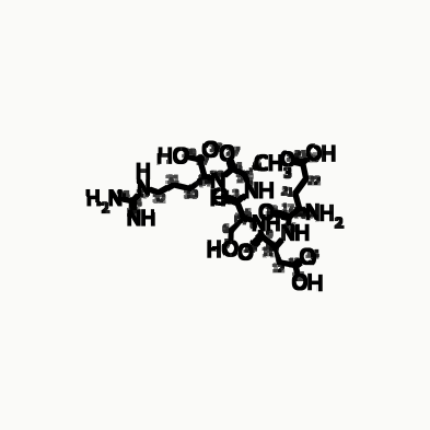 C[C@H](NC(=O)[C@H](CO)NC(=O)[C@H](CC(=O)O)NC(=O)[C@@H](N)CCC(=O)O)C(=O)N[C@@H](CCCNC(=N)N)C(=O)O